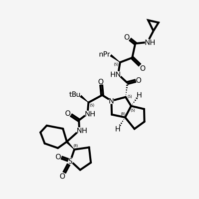 CCC[C@H](NC(=O)[C@@H]1[C@H]2CCC[C@H]2CN1C(=O)[C@@H](NC(=O)NC1([C@H]2CCCS2(=O)=O)CCCCC1)C(C)(C)C)C(=O)C(=O)NC1CC1